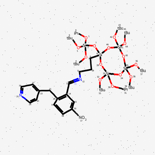 CC(C)O[Si](OC(C)(C)C)(OC(C)(C)C)O[Si]1(CCC/N=C/c2cc([N+](=O)[O-])ccc2Cc2ccncc2)O[Si](OC(C)C)(OC(C)(C)C)O[Si](OC(C)(C)C)(OC(C)(C)C)O[Si](OC(C)(C)C)(OC(C)(C)C)O1